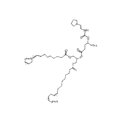 CCCCC/C=C\C/C=C\CCCCCCCC(=O)OCC(COC(=O)CCCCCCC/C=C\C/C=C\CCCCC)OC(=O)CCC(CCCCCCCC)OC(=O)NCCN1CCCC1